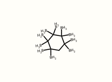 BC1(B)CC(B)(B)C(B)(B)C(B)(B)C1(B)B